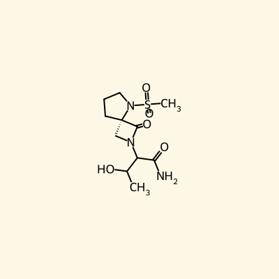 CC(O)C(C(N)=O)N1C[C@@]2(CCCN2S(C)(=O)=O)C1=O